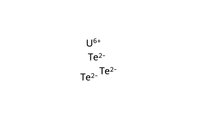 [Te-2].[Te-2].[Te-2].[U+6]